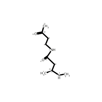 CN[C@@H](C)CC(=O)NCCC(C)=O